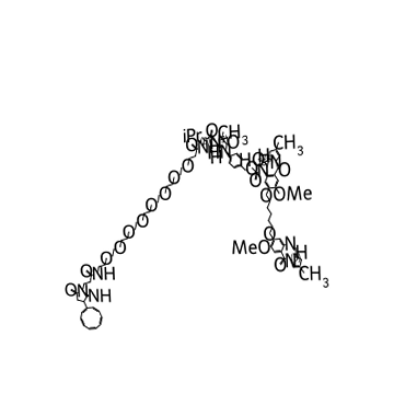 COc1cc2c(cc1OCCCCCOc1cc3c(cc1OC)C(=O)N1C=C(C)C[C@H]1[C@H](O)N3C(=O)OCc1ccc(NC(=O)[C@H](C)NC(=O)[C@@H](NC(=O)CCOCCOCCOCCOCCOCCOCCOCCOCCNC(=O)CCN3C(=N)C(c4ccccccccc4)CC3=O)C(C)C)cc1)N=C[C@@H]1CC(C)=CN1C2=O